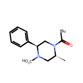 C[C@@H]1CN(C(=O)O)[C@@H](c2ccccc2)CN1C(=O)C(C)(C)C